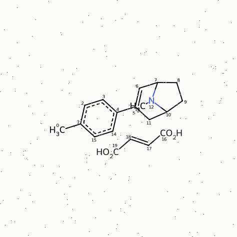 Cc1ccc(C2=CC3CCC(C2)N3C)cc1.O=C(O)/C=C/C(=O)O